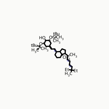 CCC(C)(/C=C/C=C/[C@@H](C)C1CCC2/C(=C/C=C3C[C@@H](O[Si](C)(C)C(C)(C)C)C(O)[C@H](O[Si](C)(C)C(C)(C)C)C3)CCCC21C)CC